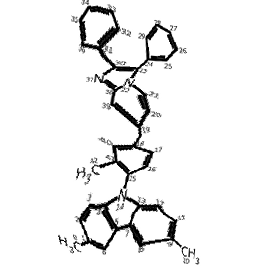 Cc1ccc2c(c1)c1cc(C)ccc1n2-c1ccc(-c2ccn3c(-c4ccccc4)c(-c4ccccc4)nc3c2)cc1C